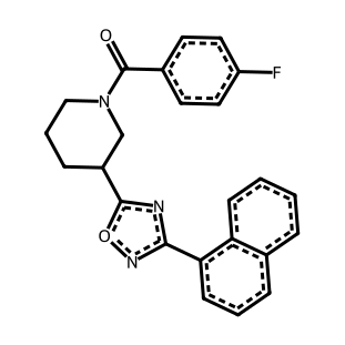 O=C(c1ccc(F)cc1)N1CCCC(c2nc(-c3cccc4ccccc34)no2)C1